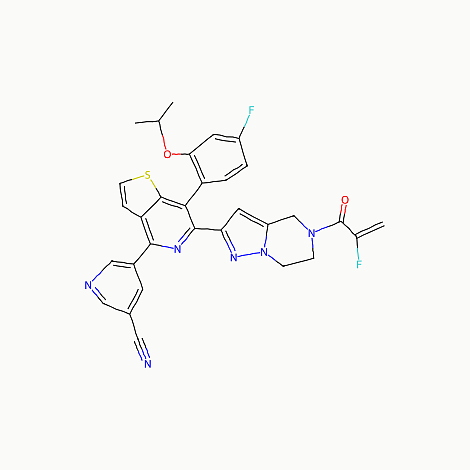 C=C(F)C(=O)N1CCn2nc(-c3nc(-c4cncc(C#N)c4)c4ccsc4c3-c3ccc(F)cc3OC(C)C)cc2C1